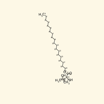 CCCCCCCCCCCCCCCCCCCCOC(=O)[CH](S)[Sn]([CH3])([CH3])[CH3]